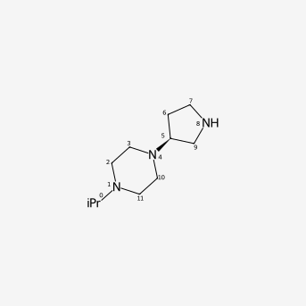 CC(C)N1CCN([C@H]2CCNC2)CC1